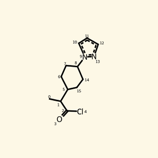 CC(C(=O)Cl)C1CCC(n2cccn2)CC1